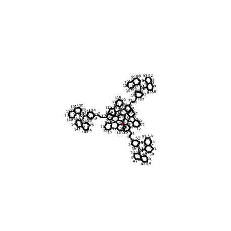 C(=C\c1ccc2c(c1)C1(c3ccccc3-c3ccccc31)c1c-2c2c(c3c1-c1ccc(/C=C/c4ccc(N(c5cccc6ccccc56)c5cccc6ccccc56)cc4)cc1C31c3ccccc3-c3ccccc31)-c1ccc(/C=C/c3ccc(N(c4cccc5ccccc45)c4cccc5ccccc45)cc3)cc1C21c2ccccc2-c2ccccc21)/c1ccc(N(c2cccc3ccccc23)c2cccc3ccccc23)cc1